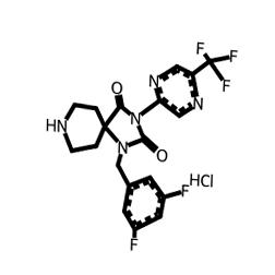 Cl.O=C1N(c2cnc(C(F)(F)F)cn2)C(=O)C2(CCNCC2)N1Cc1cc(F)cc(F)c1